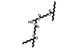 CCCCCCC(CCCC)C(=O)OCCCCC(=O)OCC(CO)COC(=O)CCCCOC(=O)C(CCCC)CCCCCC